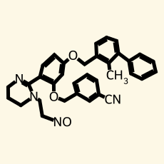 Cc1c(COc2ccc(C3=NCCCN3CCN=O)c(OCc3cccc(C#N)c3)c2)cccc1-c1ccccc1